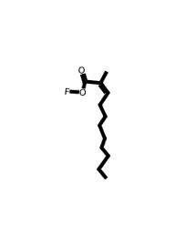 CCCCCCCCC=C(C)C(=O)OF